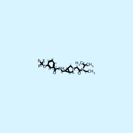 CCN(C(=O)CN1CC2C(CNC(=O)c3cccc(OC(F)(F)F)c3)C2C1)C(C)C